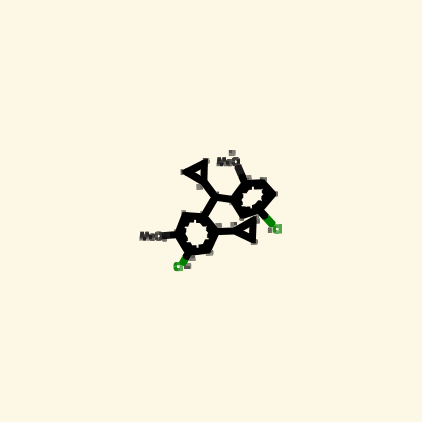 COc1cc(C(c2cc(Cl)ccc2OC)C2CC2)c(C2CC2)cc1Cl